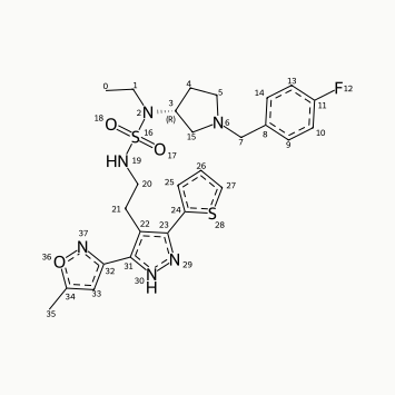 CCN([C@@H]1CCN(Cc2ccc(F)cc2)C1)S(=O)(=O)NCCc1c(-c2cccs2)n[nH]c1-c1cc(C)on1